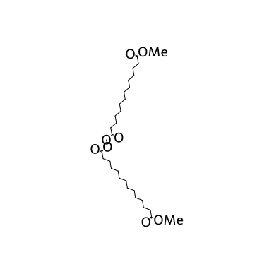 COC(=O)CCCCCCCCCCCCC(=O)OOC(=O)CCCCCCCCCCCCC(=O)OC